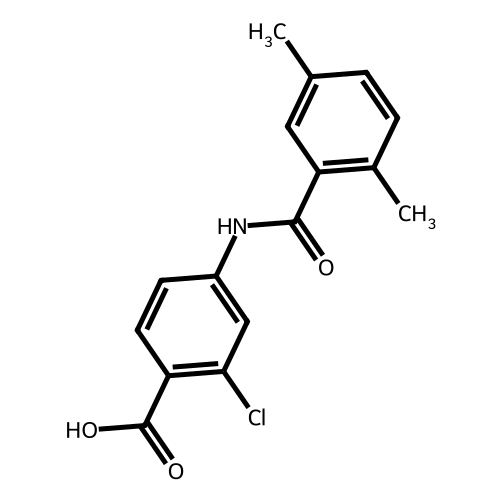 Cc1ccc(C)c(C(=O)Nc2ccc(C(=O)O)c(Cl)c2)c1